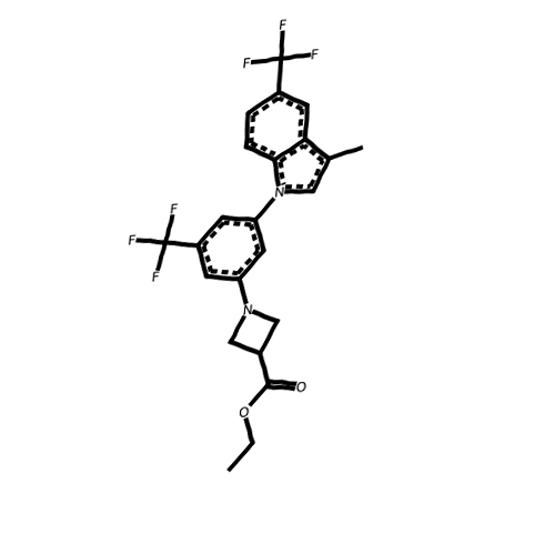 CCOC(=O)C1CN(c2cc(-n3cc(C)c4cc(C(F)(F)F)ccc43)cc(C(F)(F)F)c2)C1